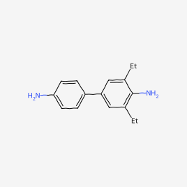 CCc1cc(-c2ccc(N)cc2)cc(CC)c1N